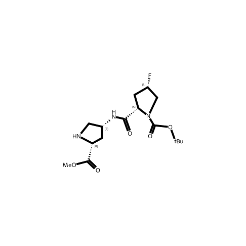 COC(=O)[C@H]1C[C@@H](NC(=O)[C@@H]2C[C@H](F)CN2C(=O)OC(C)(C)C)CN1